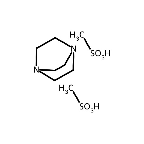 C1CN2CCN1CC2.CS(=O)(=O)O.CS(=O)(=O)O